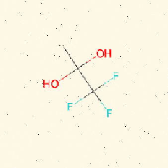 [CH2]C(O)(O)C(F)(F)F